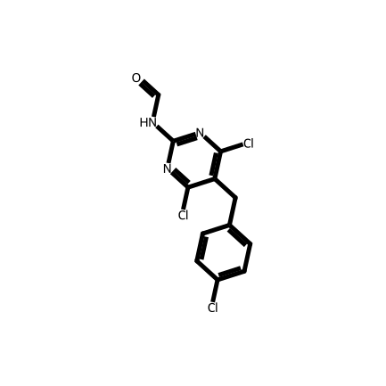 O=CNc1nc(Cl)c(Cc2ccc(Cl)cc2)c(Cl)n1